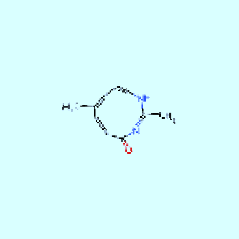 Cc1ccc[nH]c(C)nc(=O)cc1